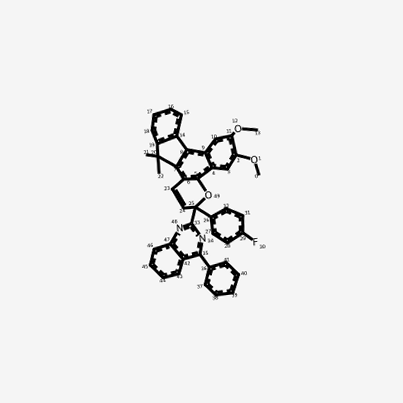 COc1cc2c3c(c4c(c2cc1OC)-c1ccccc1C4(C)C)C=CC(c1ccc(F)cc1)(c1nc(-c2ccccc2)c2ccccc2n1)O3